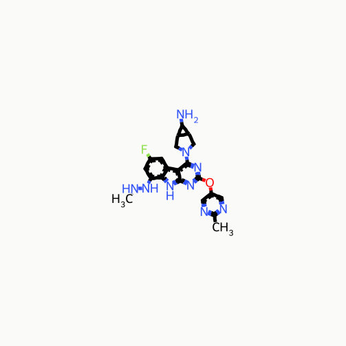 CNNc1cc(F)cc2c1[nH]c1nc(Oc3cnc(C)nc3)nc(N3CC4C(N)C4C3)c12